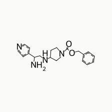 NC(CNC1CCN(C(=O)OCc2ccccc2)CC1)c1ccncc1